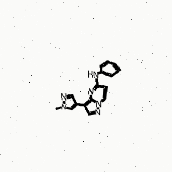 Cn1cc(-c2cnn3ccc(Nc4ccccc4)nc23)cn1